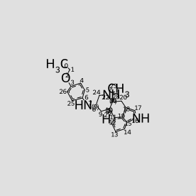 CCOc1ccc(N[C@H]2C[C@H]3c4cccc5[nH]cc(c45)C[C@H]3N(C)C2)cc1